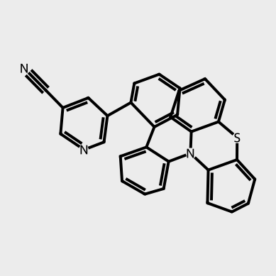 N#Cc1cncc(-c2ccccc2-c2ccccc2N2c3ccccc3Sc3ccccc32)c1